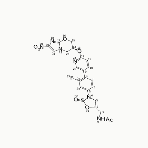 CC(=O)NC[C@H]1CN(c2ccc(-c3ccc(O[C@@H]4COc5nc([N+](=O)[O-])cn5C4)nc3)c(F)c2)C(=O)O1